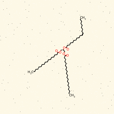 CCCCCCCC/C=C\CCCCCCCCCC(=O)O[C@H](COC(=O)CCCCCCCCCCCCCCCC)COC(=O)CCCCCCCCCCCCCCCCCCCC